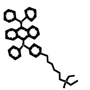 CC[N+](CC)(CC)CCCCCCc1ccc(N(c2ccccc2)c2c3ccccc3c(N(c3ccccc3)c3ccccc3)c3ccccc23)cc1